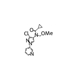 COCN(C(=O)C1CC1)c1cn(-c2cccnc2)nc1Cl